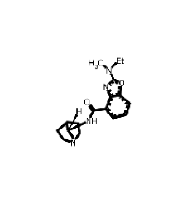 CCN(C)c1nc2c(C(=O)N[C@@H]3CN4CCC3CC4)cccc2o1